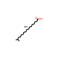 CC(C)CCCCCCCCCCCCCCC(=O)O.[KH]